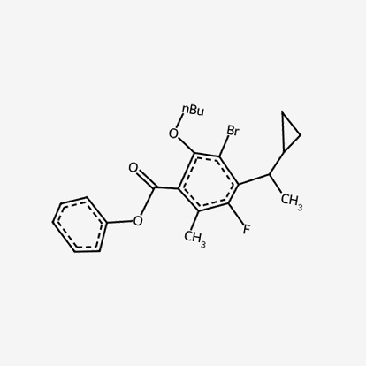 CCCCOc1c(Br)c(C(C)C2CC2)c(F)c(C)c1C(=O)Oc1ccccc1